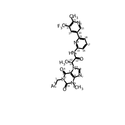 CC(=O)Cn1c(=O)c2c(ncn2[C@@H](C)C(=O)Nc2cccc(-c3cnc(C)c(C(F)(F)F)c3)n2)n(C)c1=O